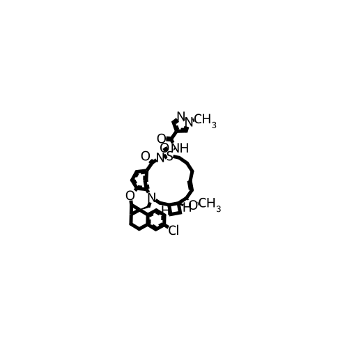 CO[C@H]1/C=C/CCC[S@@](=O)(NC(=O)c2cnn(C)c2)=NC(=O)c2ccc3c(c2)N(C[C@@H]2CC[C@H]21)C[C@@]12c4ccc(Cl)cc4CCC1C2O3